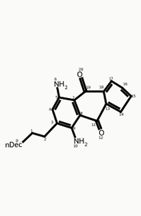 CCCCCCCCCCCCc1cc(N)c2c(c1N)C(=O)c1ccccc1C2=O